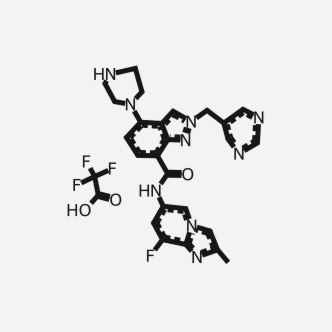 Cc1cn2cc(NC(=O)c3ccc(N4CCNCC4)c4cn(Cc5cncnc5)nc34)cc(F)c2n1.O=C(O)C(F)(F)F